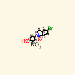 O=C1c2ccc(Br)cc2CCN1c1ccc(O)c([N+](=O)[O-])c1